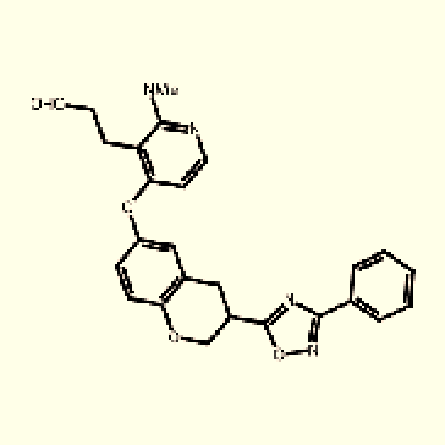 CNc1nccc(Oc2ccc3c(c2)CC(c2nc(-c4ccccc4)no2)CO3)c1CCC=O